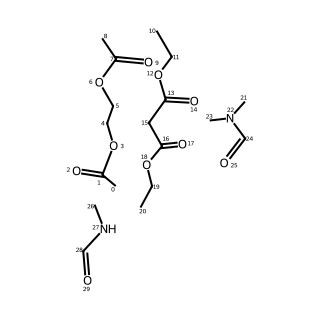 CC(=O)OCCOC(C)=O.CCOC(=O)CC(=O)OCC.CN(C)C=O.CNC=O